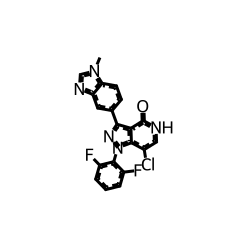 Cn1cnc2cc(-c3nn(-c4c(F)cccc4F)c4c(Cl)c[nH]c(=O)c34)ccc21